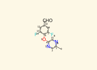 Cc1cnc(Oc2c(F)cc(C=O)cc2F)cn1